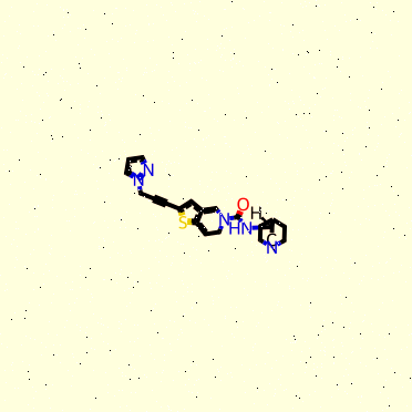 O=C(N[C@H]1CN2CCC1CC2)N1C=c2cc(C#CCn3cccn3)sc2=CC1